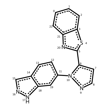 c1ccc2sc(-c3ccnn3-c3ccc4cn[nH]c4c3)nc2c1